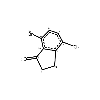 O=C1CCc2c(Cl)ccc(Br)c21